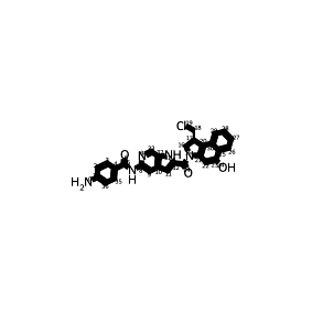 Nc1ccc(C(=O)Nc2cc3cc(C(=O)N4C[C@@H](CCl)c5c4cc(O)c4ccccc54)[nH]c3cn2)cc1